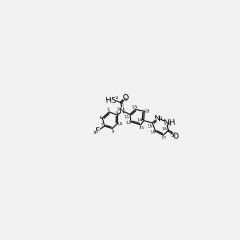 O=C(S)N(c1ccc(F)cc1)c1ccc(-c2ccc(=O)[nH]n2)cc1